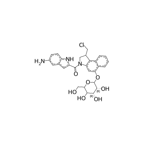 Nc1ccc2[nH]c(C(=O)N3CC(CCl)c4c3cc(OC3OC(CO)C(O)[C@@H](O)[C@H]3O)c3ccccc43)cc2c1